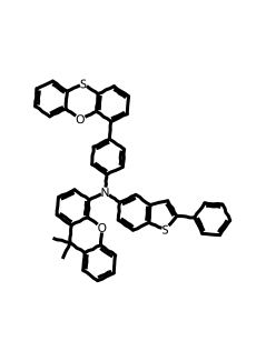 CC1(C)c2ccccc2Oc2c(N(c3ccc(-c4cccc5c4Oc4ccccc4S5)cc3)c3ccc4sc(-c5ccccc5)cc4c3)cccc21